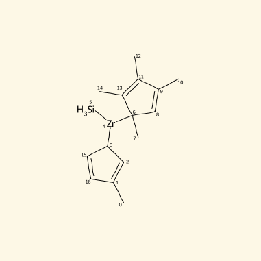 CC1=C[CH]([Zr]([SiH3])[C]2(C)C=C(C)C(C)=C2C)C=C1